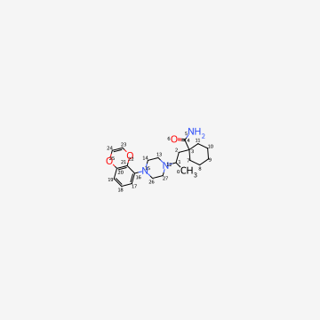 CC(CC1(C(N)=O)CCCCC1)N1CCN(c2cccc3c2OC=CO3)CC1